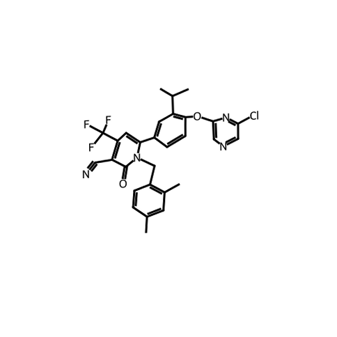 Cc1ccc(Cn2c(-c3ccc(Oc4cncc(Cl)n4)c(C(C)C)c3)cc(C(F)(F)F)c(C#N)c2=O)c(C)c1